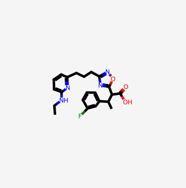 CCNc1cccc(CCCc2noc(C(C(=O)O)C(C)c3cccc(F)c3)n2)n1